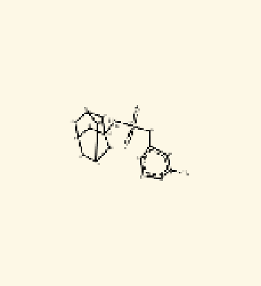 O=S(=O)(Cc1cccc(Cl)c1)NC12CC3CC(CC(C3)C1)C2